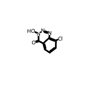 O=c1c2cccc(Cl)c2nnn1O